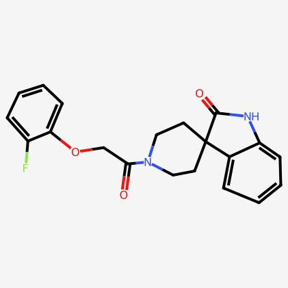 O=C(COc1ccccc1F)N1CCC2(CC1)C(=O)Nc1ccccc12